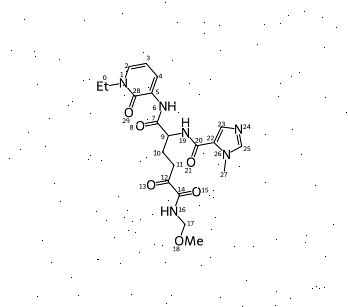 CCn1cccc(NC(=O)C(CCC(=O)C(=O)NCOC)NC(=O)c2cncn2C)c1=O